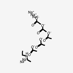 CC(=O)[O-].CC(=O)[O-].CC(=O)[O-].CC(=O)[O-].CC(=O)[O-].CCNCC.[Na+].[Na+].[Na+].[Na+].[Na+]